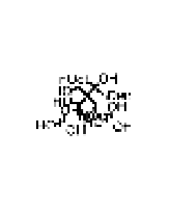 CCCCCCCCCCC(O)C(CO)(CO)C(O)(CCCCCCCC)CCCCCCCCCC.OP(O)O.OP(O)O